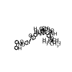 CC(C)(C)[Si](C)(C)Oc1ccc([C@@H](CNCCc2ccc3c(c2)CCN(CCN2CCC(OC(=O)Nc4ccccc4-c4ccccc4)CC2)C3=O)O[Si](C)(C)C(C)(C)C)c2sc(=O)[nH]c12